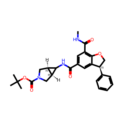 CNC(=O)c1cc(C(=O)NC2[C@H]3CN(C(=O)OC(C)(C)C)C[C@@H]23)cc2c1OC[C@H]2c1ccccc1